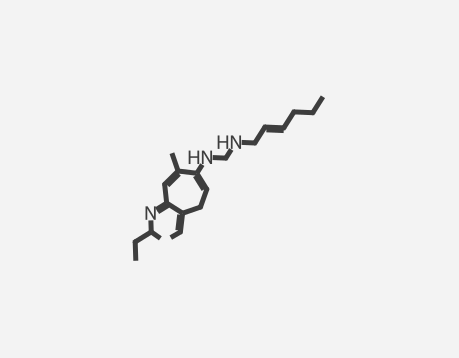 C/C=C1/CC=C(NCNC/C=C/CCC)C(C)=C/C1=N/C(C)CC